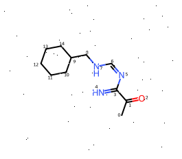 CC(=O)C(=N)/N=C\NCC1CCCCC1